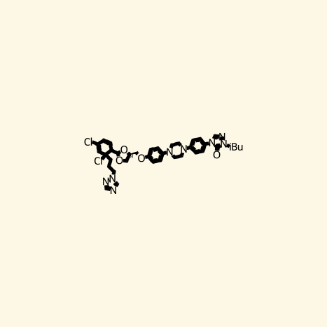 CCC(C)n1ncn(-c2ccc(N3CCN(c4ccc(OC[C@H]5COC(C6C=CC(Cl)=CC6(Cl)CCCn6cncn6)O5)cc4)CC3)cc2)c1=O